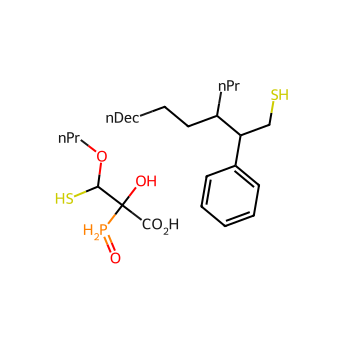 CCCCCCCCCCCCC(CCC)C(CS)c1ccccc1.CCCOC(S)C(O)([PH2]=O)C(=O)O